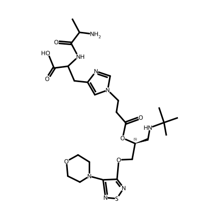 CC(N)C(=O)NC(Cc1cn(CCC(=O)O[C@@H](CNC(C)(C)C)COc2nsnc2N2CCOCC2)cn1)C(=O)O